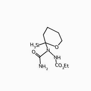 CCOC(=O)NN(C(N)=O)C1([SiH3])CCCCO1